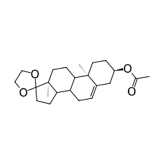 CC(=O)O[C@@H]1CC[C@@]2(C)C(=CCC3C2CC[C@@]2(C)C3CCC23OCCO3)C1